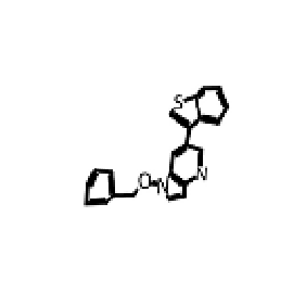 c1ccc(COn2ccc3ncc(-c4csc5ccccc45)cc32)cc1